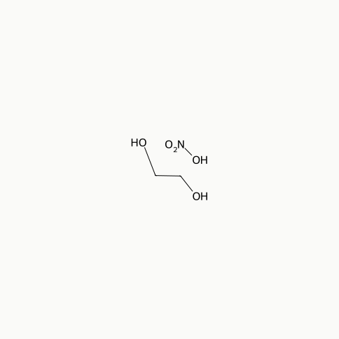 O=[N+]([O-])O.OCCO